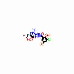 CC1=NNC(NNC(=O)c2cc(Br)cc(Cl)c2O)N=C1O